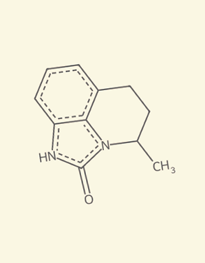 CC1CCc2cccc3[nH]c(=O)n1c23